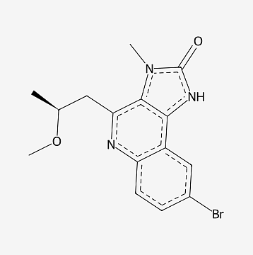 CO[C@@H](C)Cc1nc2ccc(Br)cc2c2[nH]c(=O)n(C)c12